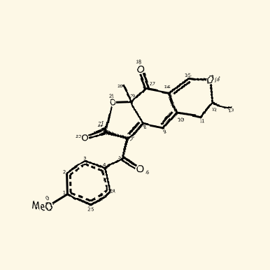 COc1ccc(C(=O)C2=C3C=C4CC(C)OC=C4C(=O)C3(C)OC2=O)cc1